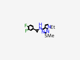 CCn1ccc2c(N[C@@H]3CC3c3ccc(F)c(F)c3)nc(SC)nc21